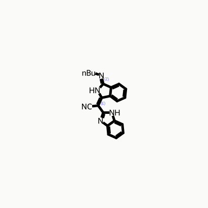 CCCC/N=C1\N/C(=C(\C#N)c2nc3ccccc3[nH]2)c2ccccc21